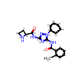 Cc1ccccc1C(=O)Nc1nc(NC(=O)C2CCN2)nn1-c1ccccc1